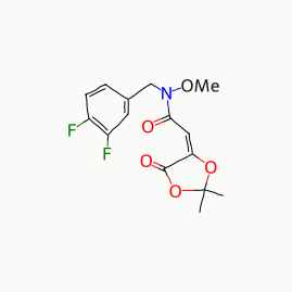 CON(Cc1ccc(F)c(F)c1)C(=O)C=C1OC(C)(C)OC1=O